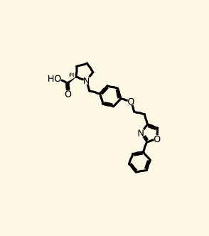 O=C(O)[C@H]1CCCN1Cc1ccc(OCCc2coc(-c3ccccc3)n2)cc1